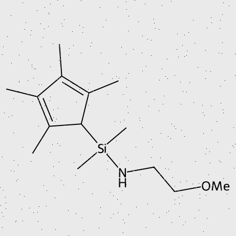 COCCN[Si](C)(C)C1C(C)=C(C)C(C)=C1C